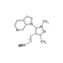 Cc1nn(C)c(-n2ccc3ccncc32)c1/C=C/C=O.[KH]